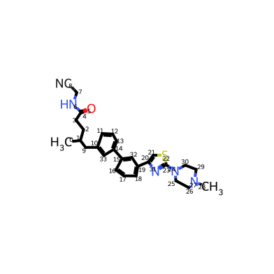 CC(CCC(=O)NCC#N)Cc1cccc(-c2cccc(-c3csc(N4CCN(C)CC4)n3)c2)c1